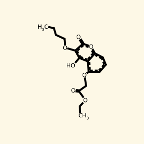 CCCCOc1c(O)c2c(OCC(=O)OCC)cccc2oc1=O